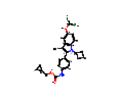 N#Cc1c(-c2ccc(NC(=O)OCC3CC3)cc2)n(C2CCC2)c2ccc(OC(F)F)cc12